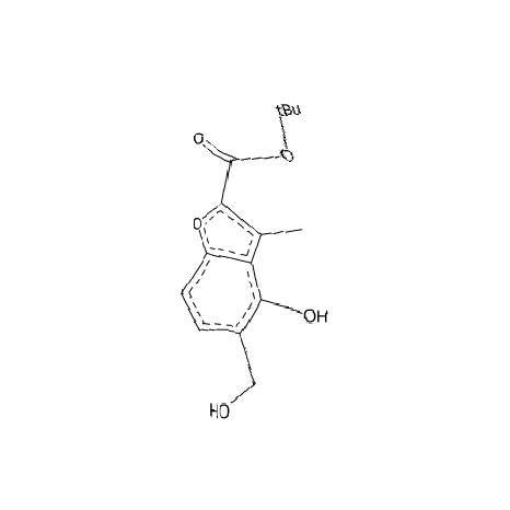 Cc1c(C(=O)OC(C)(C)C)oc2ccc(CO)c(O)c12